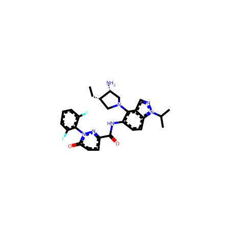 CC[C@H]1CN(c2c(NC(=O)c3ccc(=O)n(-c4c(F)cccc4F)n3)ccc3c2cnn3C(C)C)C[C@H]1N